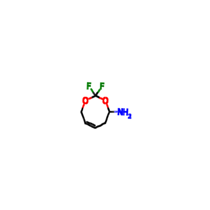 NC1C/C=C\COC(F)(F)O1